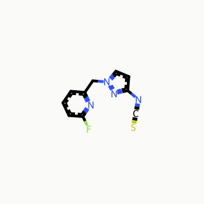 Fc1cccc(Cn2ccc(N=C=S)n2)n1